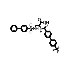 O=C(N[C@@H](CNS(=O)(=O)c1ccc(-c2ccccc2)cc1)C(=O)O)c1ccc(-c2ccc(C(F)(F)F)cc2)cc1